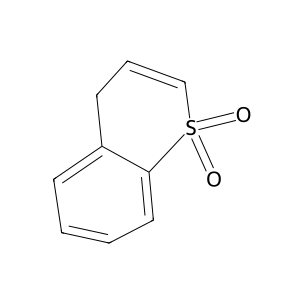 O=S1(=O)C=CCc2ccccc21